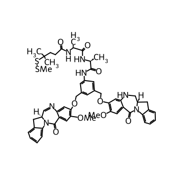 COc1cc2c(cc1OCc1cc(COc3cc4c(cc3OC)C(=O)N3c5ccccc5C[C@H]3CN4)cc(NC(=O)[C@H](C)NC(=O)[C@H](C)NC(=O)CCC(C)(C)SSC)c1)N=C[C@@H]1Cc3ccccc3N1C2=O